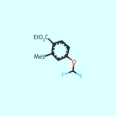 CCOC(=O)c1ccc(OC(F)F)cc1SC